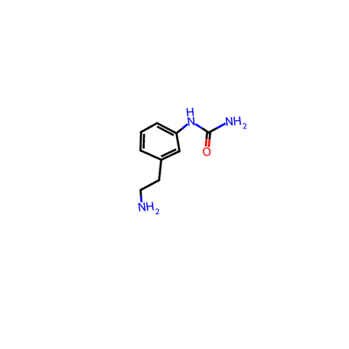 NCCc1cccc(NC(N)=O)c1